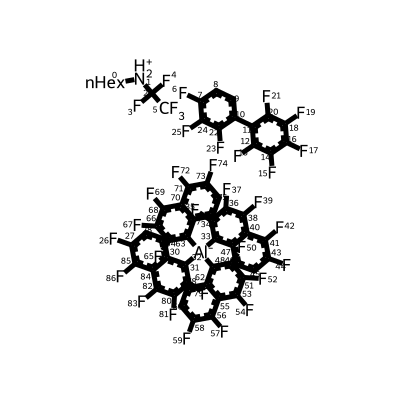 CCCCCC[NH2+]C(F)(F)C(F)(F)F.Fc1ccc(-c2c(F)c(F)c(F)c(F)c2F)c(F)c1F.Fc1ccc2[c]([Al-]([c]3c(F)c(F)c(F)c4c(F)c(F)ccc34)([c]3c(F)c(F)c(F)c4c(F)c(F)ccc34)[c]3c(F)c(F)c(F)c4c(F)c(F)ccc34)c(F)c(F)c(F)c2c1F